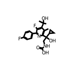 Cc1c(C(O)(CNC(=O)O)C2CC2)nc(-c2ccc(F)cc2)c(F)c1C(C)(C)O